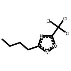 CCCCc1noc(C(Cl)(Cl)Cl)n1